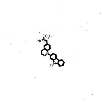 CCn1c2ccccc2c2ccc(N3CCCc4cc(/C=C(\C#N)C(=O)O)ccc43)cc21